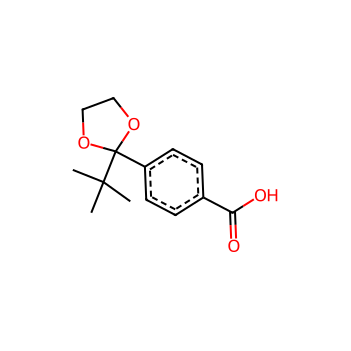 CC(C)(C)C1(c2ccc(C(=O)O)cc2)OCCO1